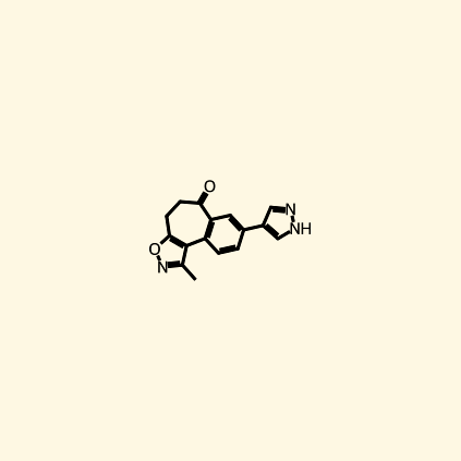 Cc1noc2c1-c1ccc(-c3cn[nH]c3)cc1C(=O)CC2